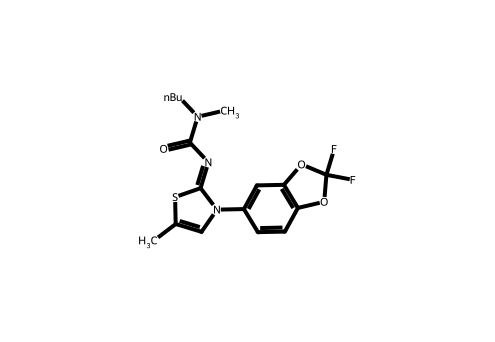 CCCCN(C)C(=O)N=c1sc(C)cn1-c1ccc2c(c1)OC(F)(F)O2